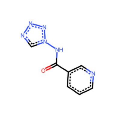 O=C(Nn1cnnn1)c1cccnc1